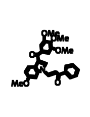 COc1ccc2c(C(=O)c3cc(OC)c(OC)c(OC)c3)cn(C=CC(=O)c3ccccc3)c2c1